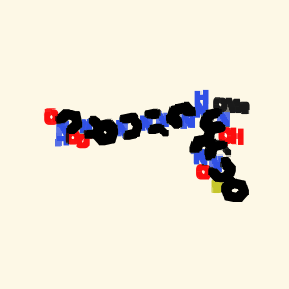 COc1ncc(-c2ccnc(N3CCc4c(sc5c4CCCC5)C3=O)c2[C@@H](C)O)cc1Nc1ccc(N2CCN(C3CCN(c4ccc5c(c4)CN([C@H]4CCC(=O)NC4=O)C5=O)CC3)C[C@@H]2C)cn1